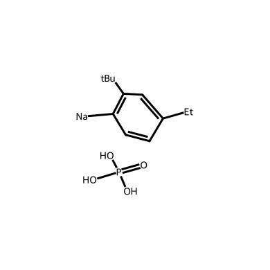 CCc1cc[c]([Na])c(C(C)(C)C)c1.O=P(O)(O)O